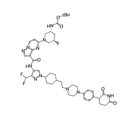 CC(C)(C)OC(=O)N[C@@H]1C[C@@H](F)CN(c2ccn3ncc(C(=O)Nc4cn(C5CCC(CCN6CCN(c7ccc(C8CCC(=O)NC8=O)cc7)CC6)CC5)nc4C(F)F)c3n2)C1